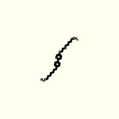 CCCCCCCCc1ccc(-c2ccc(OCCOCCCCCC)cn2)cc1